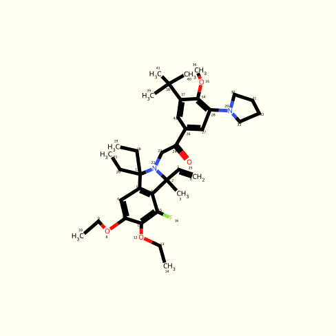 C=CC1(C)c2c(cc(OCC)c(OCC)c2F)C(CC)(CC)N1CC(=O)c1cc(N2CCCC2)c(OC)c(C(C)(C)C)c1